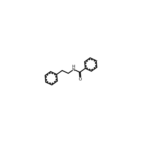 O=C(NCCc1ccccc1)c1cc[c]cc1